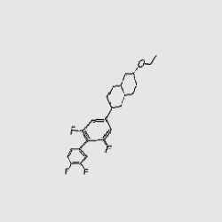 CCOC1CCC2CC(c3cc(F)c(-c4ccc(F)c(F)c4)c(F)c3)CCC2C1